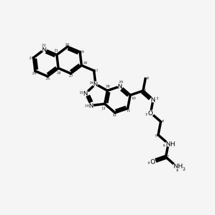 C/C(=N/OCCNC(N)=O)c1ccc2nnn(Cc3ccc4ncccc4c3)c2n1